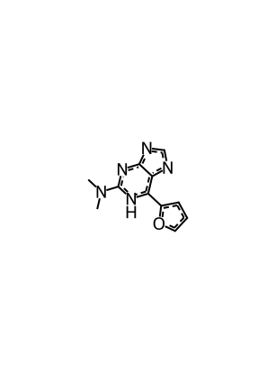 CN(C)c1nc2ncnc-2c(-c2ccco2)[nH]1